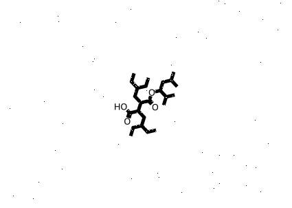 CCC(CC)CC(C(=O)O)C(CC(CC)CC)C(=O)OC(CC(C)C)C(C)C